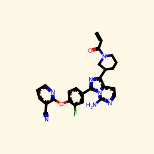 C=CC(=O)N1CCCC(c2nc(-c3ccc(Oc4ncccc4C#N)c(F)c3)n3c(N)nccc23)C1